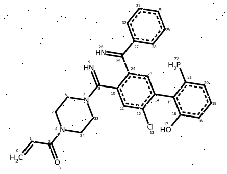 C=CC(=O)N1CCN(C(=N)c2cc(Cl)c(-c3c(O)cccc3P)cc2C(=N)c2ccccc2)CC1